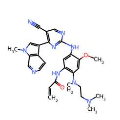 C=CC(=O)Nc1cc(Nc2ncc(C#N)c(-c3cn(C)c4cnccc34)n2)c(OC)cc1N(C)CCN(C)C